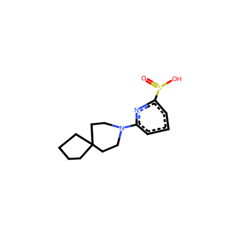 O=S(O)c1cccc(N2CCC3(CCCC3)CC2)n1